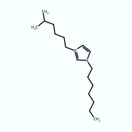 CCCCCCCn1cc[n+](CCCCC(C)C)c1